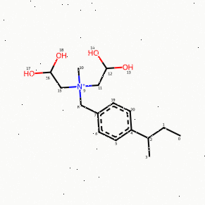 CCC(C)c1ccc(C[N+](C)(CC(O)O)CC(O)O)cc1